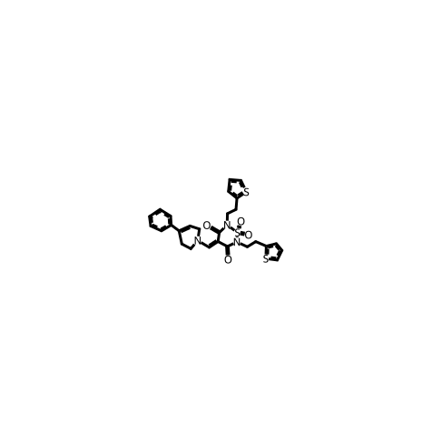 O=C1C(=CN2CC=C(c3ccccc3)CC2)C(=O)N(CCc2cccs2)S(=O)(=O)N1CCc1cccs1